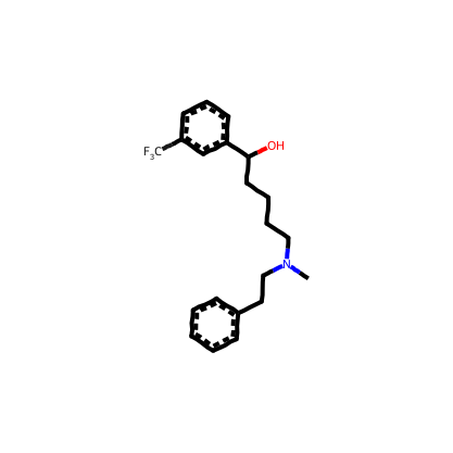 CN(CCCCC(O)c1cccc(C(F)(F)F)c1)CCc1ccccc1